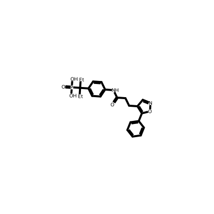 CCC(CC)(c1ccc(NC(=O)CCc2cnoc2-c2ccccc2)cc1)P(=O)(O)O